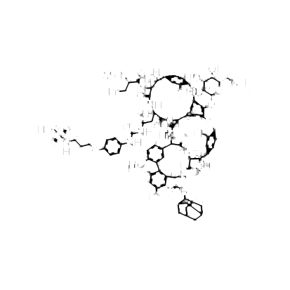 CN[C@H](CC(C)C)C(=O)N[C@H]1C(=O)N[C@@H](CC(=O)NC(=O)Nc2ccc(OCCCNS(C)(=O)=O)cc2)C(=O)N[C@H]2C(=O)N[C@H]3C(=O)N[C@H](C(=O)N[C@H](C(=O)NC4C5CC6CC(C5)CC4C6)c4cc(O)cc(C)c4-c4cc3ccc4O)[C@H](O)c3ccc(c(Cl)c3)Oc3cc2cc(c3O[C@@H]2O[C@H](CN)[C@@H](O)[C@H](O)[C@H]2O)Oc2ccc(cc2C)[C@H]1O